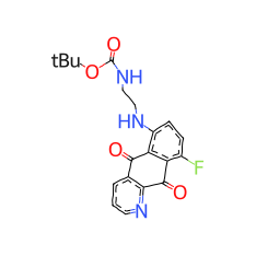 CC(C)(C)OC(=O)NCCNc1ccc(F)c2c1C(=O)c1cccnc1C2=O